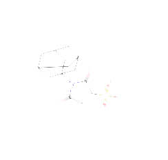 O=C1CC(S(=O)(=O)O)C(=O)N1C12CC3CC(CC(C3)C1)C2